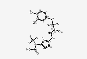 CC(C)(C)N(C(=O)O)c1ncc(CN[S@+]([O-])C(C)(C)Cc2ccc(Cl)c(Cl)c2)s1